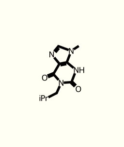 CC(C)Cn1c(=O)[nH]c2c(ncn2C)c1=O